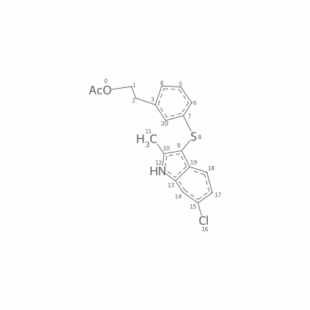 CC(=O)OCCc1cccc(Sc2c(C)[nH]c3cc(Cl)ccc23)c1